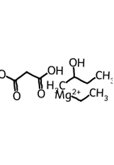 CCC(C)O.C[CH2][Mg+2].O=C(O)CC(=O)O